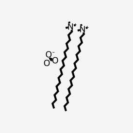 CCCCCCCCCCCCCCCCCCC[N+](C)(C)C.CCCCCCCCCCCCCCCCCCC[N+](C)(C)C.O=C([O-])[O-]